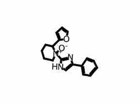 [O-][N+]1(c2nc(-c3ccccc3)c[nH]2)CCCCC1c1ccco1